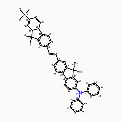 CCC1(CC)c2cc(/C=C/c3ccc4c(c3)C(C)(C)C3C=C([Si](C)(C)C)C=CC43)ccc2-c2ccc(N(c3ccccc3)c3ccccc3)cc21